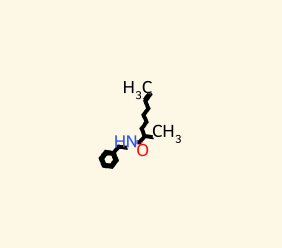 C/C=C/CCCCC(CC)C(=O)NCCc1ccccc1